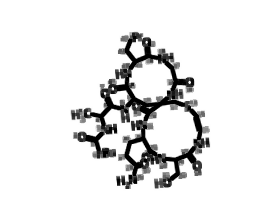 CCCCC(=O)NC(C)C(=O)NC1CC2(CS/C=C\NC(=O)C(CO)NC(=O)C(CCC(N)=O)NC2=O)NC(=O)CNC(=O)C(CC(C)C)NC1=O